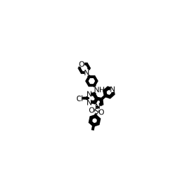 Cc1ccc(S(=O)(=O)n2cc(-c3ccncc3)c3c(NC4CCC(N5CCOCC5)CC4)nc(Cl)nc32)cc1